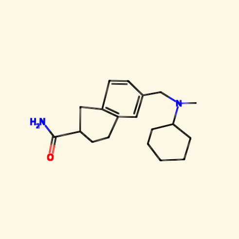 CN(Cc1ccc2c(c1)CCC(C(N)=O)C2)C1CCCCC1